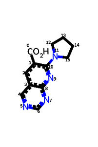 O=C(O)c1cc2cncnc2nc1N1CCCC1